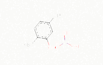 CCCCc1ccc(C)cc1O.OP(O)O